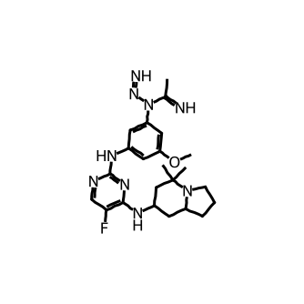 COc1cc(Nc2ncc(F)c(NC3CC4CCCN4C(C)(C)C3)n2)cc(N(N=N)C(C)=N)c1